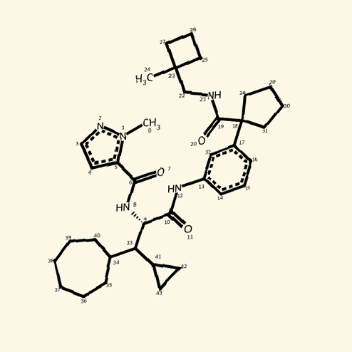 Cn1nccc1C(=O)N[C@H](C(=O)Nc1cccc(C2(C(=O)NCC3(C)CCC3)CCCC2)c1)C(C1CCCCCC1)C1CC1